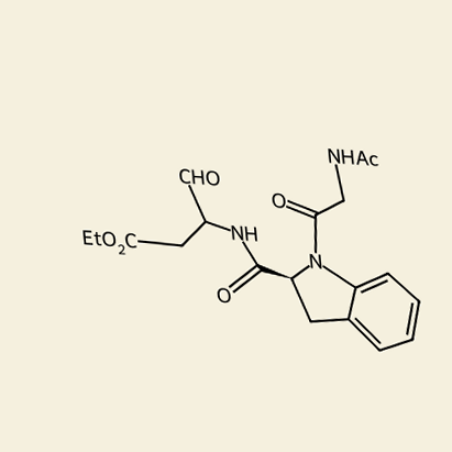 CCOC(=O)CC(C=O)NC(=O)[C@@H]1Cc2ccccc2N1C(=O)CNC(C)=O